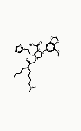 CCCCN(CCCCN(C)C)C(=O)CN1C[C@H](c2cc(OC)c3c(c2)OCO3)[C@H](C(=O)O)[C@H]1CCn1cccn1